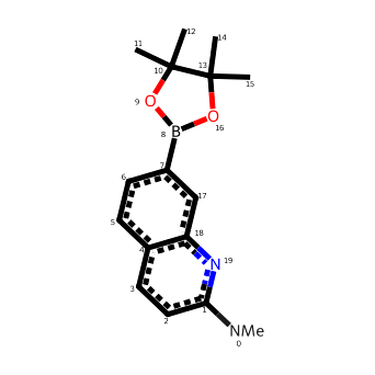 CNc1ccc2ccc(B3OC(C)(C)C(C)(C)O3)cc2n1